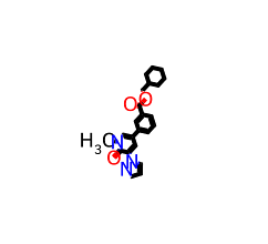 Cn1cc(-c2cccc(C(=O)OCC3CCCCC3)c2)cc(-n2cccn2)c1=O